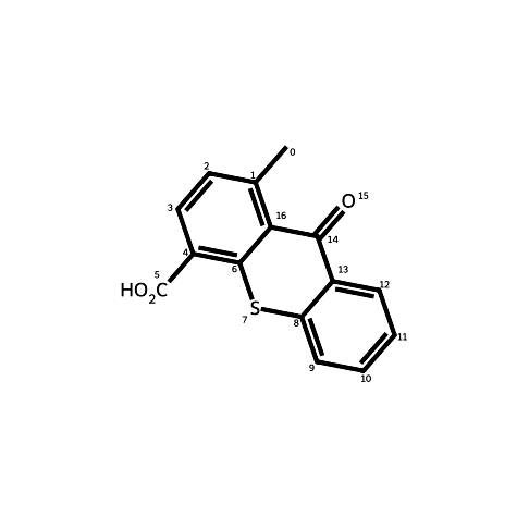 Cc1ccc(C(=O)O)c2sc3ccccc3c(=O)c12